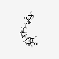 CC(C)(C)OC(=O)NCCCc1nnc([C@@H]2CC[C@H]3CN2C(=O)N3O)o1